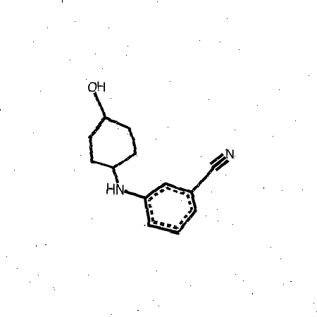 N#Cc1cc[c]c(NC2CCC(O)CC2)c1